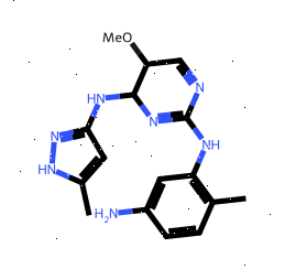 COC1C=NC(Nc2cc(N)ccc2C)=NC1Nc1cc(C)[nH]n1